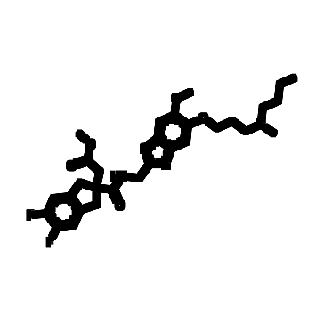 CCCCN(C)CCCOc1cc2nc(CNC(=O)C3(CC(=O)OC)Cc4cc(F)c(F)cc4C3)sc2cc1OC